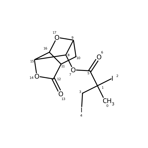 CC(I)(CI)C(=O)OC1C2CC3C(=O)OC1C3O2